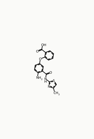 Cc1csc(NC(=O)c2cc(Oc3ccccc3C(=O)O)ccc2N)n1